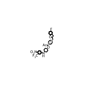 CC(=O)C(OC1CCC(Nc2ccc([N+](=O)[O-])c(C(F)(F)F)c2)CC1)N1CCN(CC2Cc3cc(F)ccc3O2)CC1